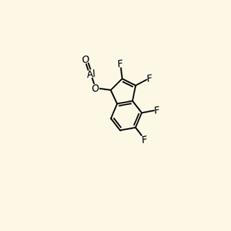 [O]=[Al][O]C1C(F)=C(F)c2c1ccc(F)c2F